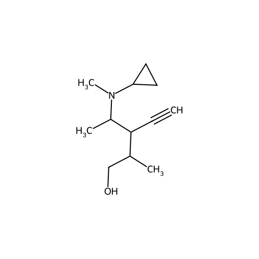 C#CC(C(C)CO)C(C)N(C)C1CC1